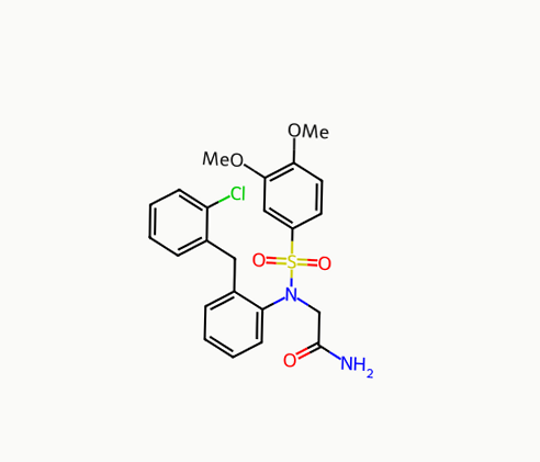 COc1ccc(S(=O)(=O)N(CC(N)=O)c2ccccc2Cc2ccccc2Cl)cc1OC